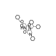 O=C(CC1NC(=O)C2(CCN(c3ccccc3)CC2)N(CC(c2ccccc2)c2ccccc2)C1=O)OCc1ccccc1